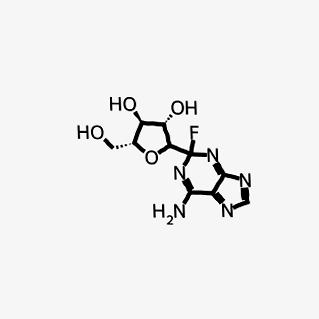 NC1=NC(F)(C2O[C@H](CO)[C@@H](O)[C@@H]2O)N=C2N=CN=C12